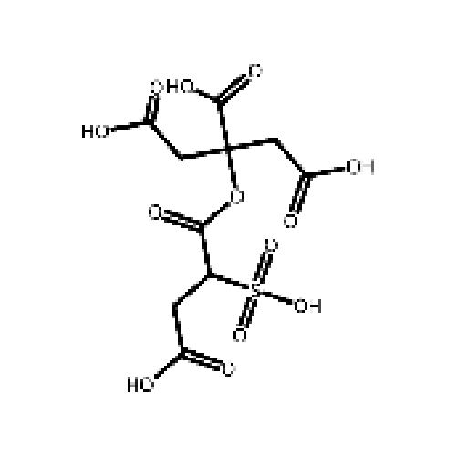 O=C(O)CC(C(=O)OC(CC(=O)O)(CC(=O)O)C(=O)O)S(=O)(=O)O